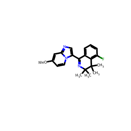 COc1ccn2c(C3=NC(C)(C)C(C)(C)c4c(F)cccc43)cnc2c1